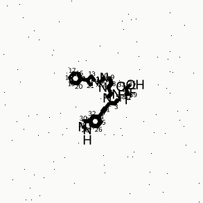 C(#Cc1ccnc(-c2ccnc(N3CC(c4ccccc4)C3)n2)n1)c1ccc2[nH]ncc2c1.O=C(O)C(F)(F)F